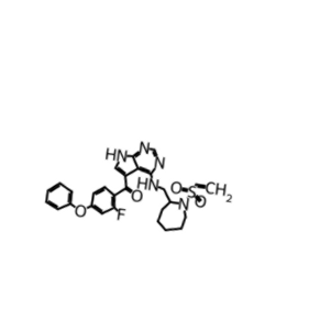 C=CS(=O)(=O)N1CCCCCC1CNc1ncnc2[nH]cc(C(=O)c3ccc(Oc4ccccc4)cc3F)c12